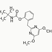 COc1cc(OC)nc(Cc2ccccc2OC(=O)NC(C)(C)C)n1